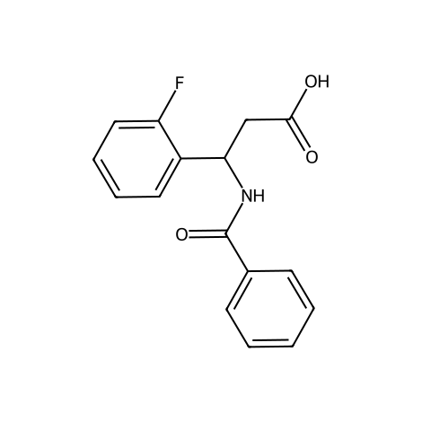 O=C(O)CC(NC(=O)c1ccccc1)c1ccccc1F